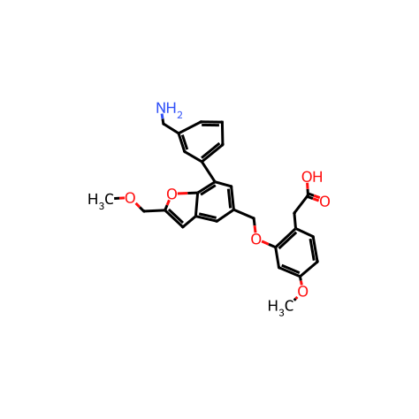 COCc1cc2cc(COc3cc(OC)ccc3CC(=O)O)cc(-c3cccc(CN)c3)c2o1